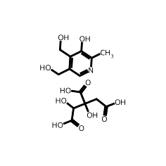 Cc1ncc(CO)c(CO)c1O.O=C(O)CC(O)(C(=O)O)C(O)C(=O)O